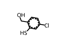 OCc1ccc(Cl)cc1S